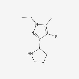 CCn1nc(C2CCCN2)c(F)c1C